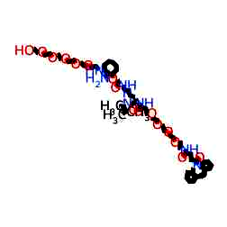 CC(C)[C@@H](C)NC(=O)[C@@H](CCCCNC(=O)COC1CCCCC/C(NCCOCCOCCOCCOCCOCCO)=C\1N)NC(=O)CCOCCOCCOCCOCCNC(=O)CCC(=O)N1Cc2ccccc2C#Cc2ccccc21